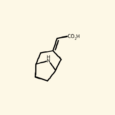 O=C(O)C=C1CC2CCC(C1)N2